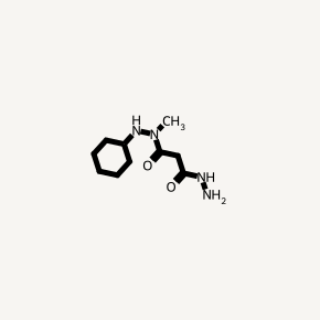 CN(NC1CCCCC1)C(=O)CC(=O)NN